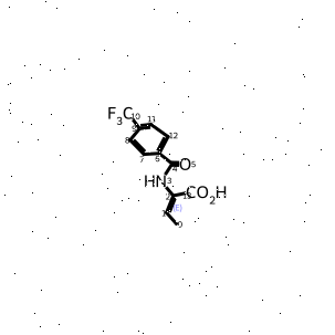 C/C=C(/NC(=O)c1ccc(C(F)(F)F)cc1)C(=O)O